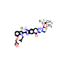 Cn1c(-c2cc3cccc(OCC4COC4)c3n2CC2CC2)nc2cc3c(cc21)CCN(C[C@@H](CF)NC(=O)OC(C)(C)C)C3=O